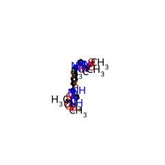 COC(=O)NC(C(=O)N1CCC[C@H]1c1ncc(-c2cc3cc4sc(-c5cnc([C@@H]6CCCN6C(=O)[C@@H](NC(=O)OC)C(C)C)[nH]5)cc4cc3s2)[nH]1)C(C)C